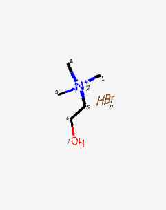 Br.C[N+](C)(C)CCO